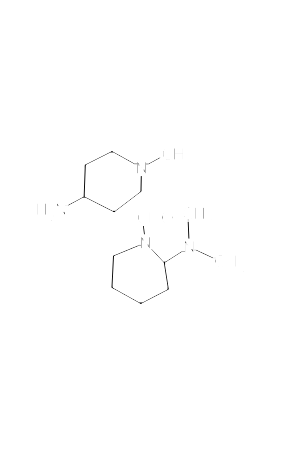 CN(C)C1CCCCN1C=O.CN1CCC(N)CC1